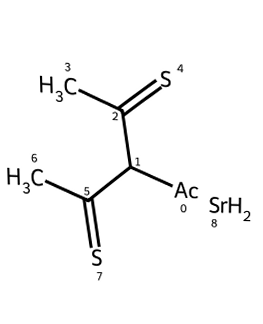 CC(=O)C(C(C)=S)C(C)=S.[SrH2]